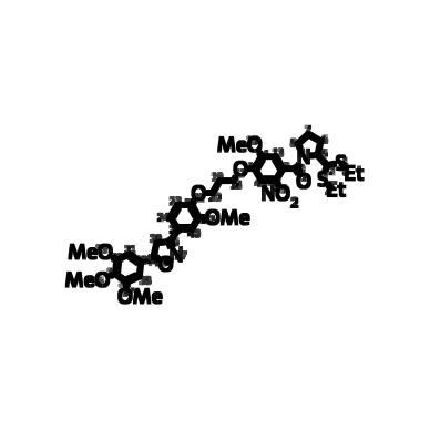 CCSC(SCC)C1CCCN1C(=O)c1cc(OC)c(OCCCOc2ccc(C3=NO[C@H](c4cc(OC)c(OC)c(OC)c4)C3)cc2OC)cc1[N+](=O)[O-]